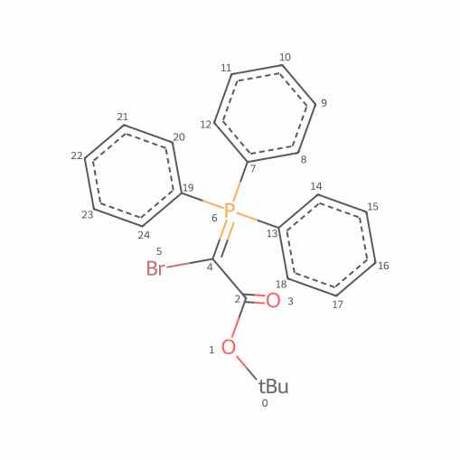 CC(C)(C)OC(=O)C(Br)=P(c1ccccc1)(c1ccccc1)c1ccccc1